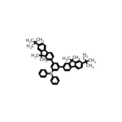 CC(C)(C)c1ccc2c(c1)C(C)(C)c1cc(-c3cc(-c4ccc5c(c4)C(C)(C)c4cc(C(C)(C)C)ccc4-5)cc(N(c4ccccc4)c4ccccc4)c3)ccc1-2